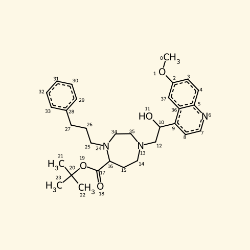 COc1ccc2nccc(C(O)CN3CCC(C(=O)OC(C)(C)C)N(CCCc4ccccc4)CC3)c2c1